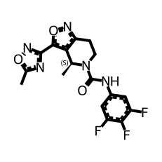 Cc1nc(-c2onc3c2[C@H](C)N(C(=O)Nc2cc(F)c(F)c(F)c2)CC3)no1